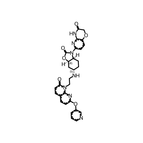 O=C1COc2ccc(N3C(=O)O[C@@H]4C[C@@H](NCCn5c(=O)ccc6ccc(Oc7cccnc7)nc65)CC[C@@H]43)nc2N1